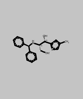 Cc1csc([C@@H](O)[C@H](CO)NC(c2ccccc2)c2ccccc2)c1